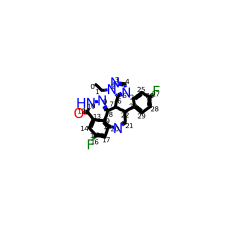 CCn1ncnc1C1c2n[nH]c(=O)c3cc(F)cc(c23)N=CC1c1ccc(F)cc1